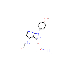 NC(=O)OCc1nn(-c2ccc(OC(F)(F)F)cc2)c2nccc(NCCO)c12